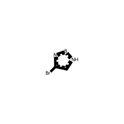 Brc1c[nH]bn1